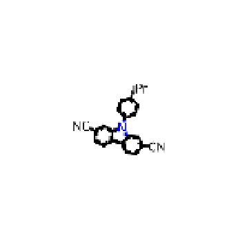 CC(C)c1ccc(-n2c3cc(C#N)ccc3c3ccc(C#N)cc32)cc1